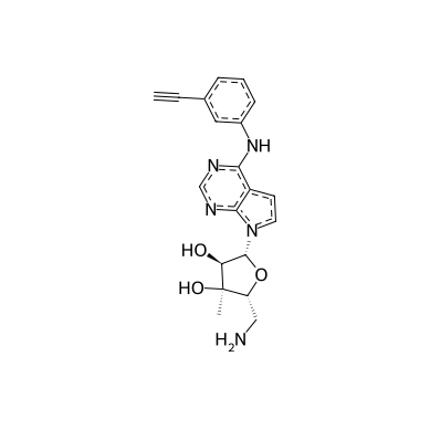 C#Cc1cccc(Nc2ncnc3c2ccn3[C@@H]2O[C@H](CN)[C@@](C)(O)[C@H]2O)c1